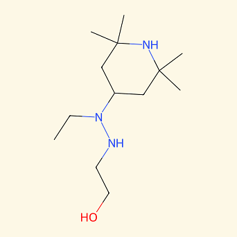 CCN(NCCO)C1CC(C)(C)NC(C)(C)C1